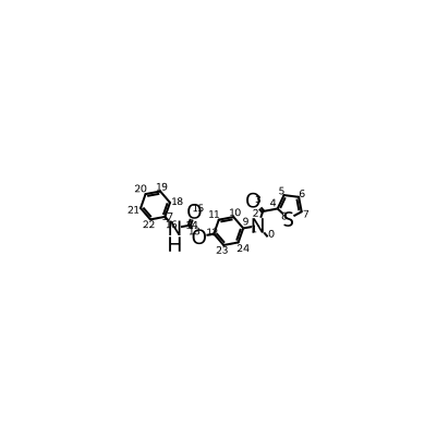 CN(C(=O)c1cccs1)c1ccc(OC(=O)Nc2ccccc2)cc1